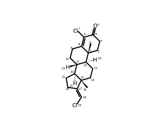 C[C@]12CCC(=O)C(Cl)=C1CC[C@@H]1[C@@H]2CC[C@]2(C)C(=CCl)CC[C@@H]12